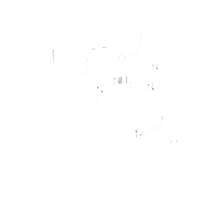 CCC(=NN=C(C)c1nc2ccccc2o1)OCc1c(C)cccc1N(C)N